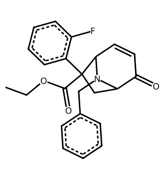 CCOC(=O)C1(c2ccccc2F)CC2C(=O)C=CC1N2Cc1ccccc1